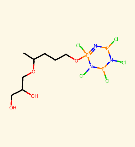 CC(CCCOP1(Cl)=NP(Cl)N(Cl)P(Cl)N1Cl)OCC(O)CO